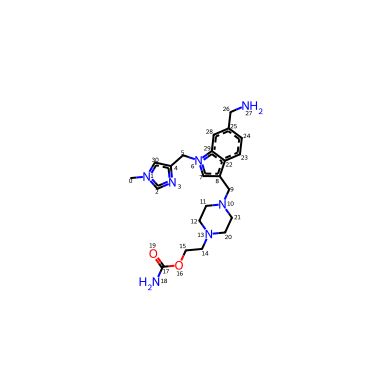 Cn1cnc(Cn2cc(CN3CCN(CCOC(N)=O)CC3)c3ccc(CN)cc32)c1